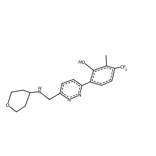 Cc1c(C(F)(F)F)ccc(-c2ccc(CNC3CCOCC3)nn2)c1O